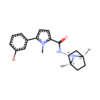 Cn1c(C(=O)N[C@@H]2C[C@H]3CC[C@@H]2N3)ccc1-c1cccc(Br)c1